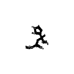 COC(=O)CC(C)(N)c1ccon1